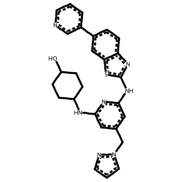 OC1CCC(Nc2cc(Cn3cccn3)cc(Nc3nc4ccc(-c5cccnc5)cc4s3)n2)CC1